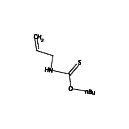 C=CCNC(=S)OCCCC